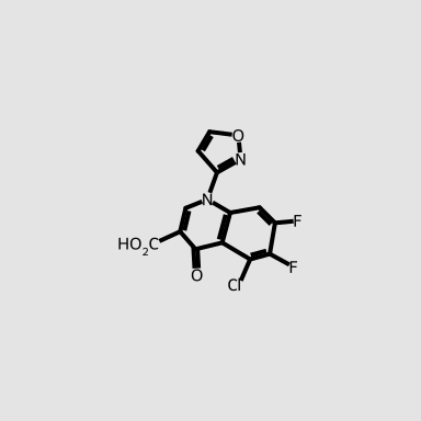 O=C(O)c1cn(-c2ccon2)c2cc(F)c(F)c(Cl)c2c1=O